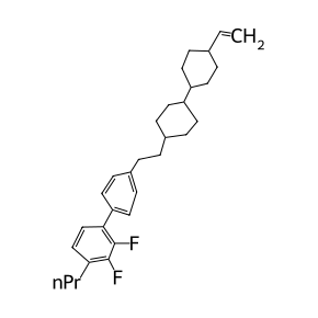 C=CC1CCC(C2CCC(CCc3ccc(-c4ccc(CCC)c(F)c4F)cc3)CC2)CC1